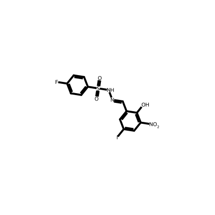 O=[N+]([O-])c1cc(I)cc(/C=N/NS(=O)(=O)c2ccc(F)cc2)c1O